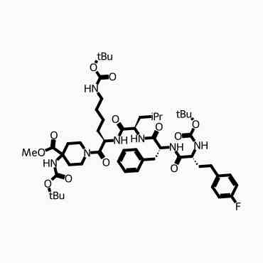 COC(=O)C1(NC(=O)OC(C)(C)C)CCN(C(=O)[C@@H](CCCCNC(=O)OC(C)(C)C)NC(=O)[C@@H](CC(C)C)NC(=O)[C@@H](Cc2ccccc2)NC(=O)[C@@H](CCc2ccc(F)cc2)NC(=O)OC(C)(C)C)CC1